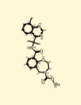 Cc1cccc2c(C(C)(C)NC(=O)c3cccc4c3OCCN(C(=O)OC(C)(C)C)C4)ncnc12